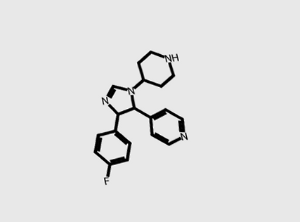 Fc1ccc(C2N=CN(C3CCNCC3)C2c2ccncc2)cc1